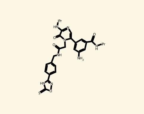 CC(C)NC(=O)c1cc(N)cc(-c2cnc(NC(C)C)c(=O)n2CC(=O)NCc2ccc(-c3noc(=S)[nH]3)cc2)c1